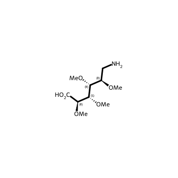 CO[C@@H]([C@H](OC)[C@@H](OC)C(=O)O)[C@@H](CN)OC